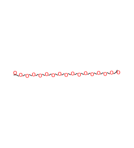 C(COCCOCCOCCOCCOCCOCCOCC1CO1)OCCOCCOCCOCCOCCOCCOCCOCC1CO1